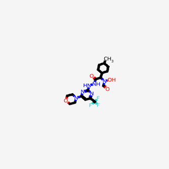 CC1CCC(C(C(=O)NNc2nc(N3CCOCC3)cc(C(F)(F)F)n2)N(O)C=O)CC1